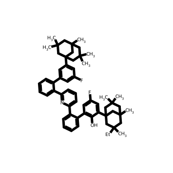 CCC1(C)CC2(C)CC(C)(C)CC(c3cc(F)cc(-c4ccccc4-c4cccc(-c5ccccc5-c5cc(F)cc(C67CC(C)(C)CC(C)(CC(C)(C)C6)C7)c5)n4)c3O)(C1)C2